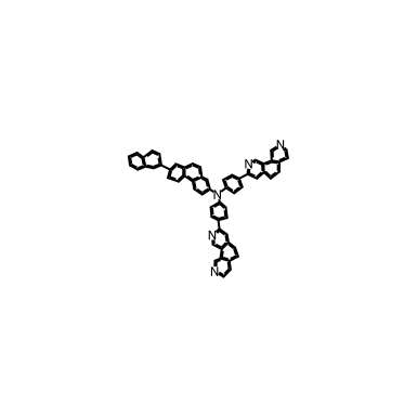 c1ccc2cc(-c3ccc4c(ccc5cc(N(c6ccc(-c7cc8ccc9ccncc9c8cn7)cc6)c6ccc(-c7cc8ccc9ccncc9c8cn7)cc6)ccc54)c3)ccc2c1